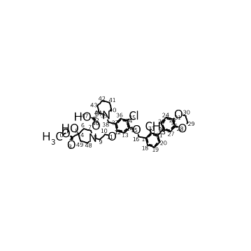 COC(=O)C1(O)CCN(CCOc2cc(OCc3cccc(-c4ccc5c(c4)OCCO5)c3C)c(Cl)cc2CN2CCCC[C@H]2C(=O)O)CC1